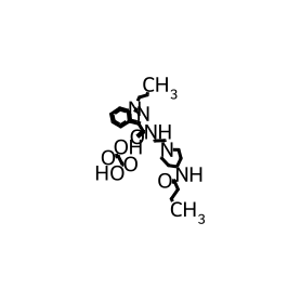 CCCC(=O)NC1CCN(CCNC(=O)c2nn(CCC)c3ccccc23)CC1.O=C(O)C(=O)O